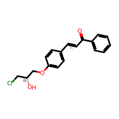 O=C(/C=C/c1ccc(OC[C@H](O)CCl)cc1)c1ccccc1